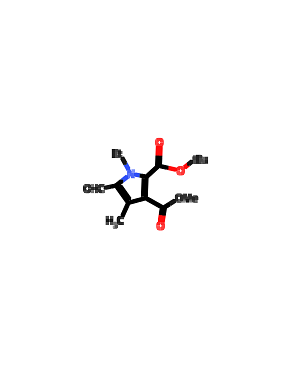 CCn1c(C=O)c(C)c(C(=O)OC)c1C(=O)OC(C)(C)C